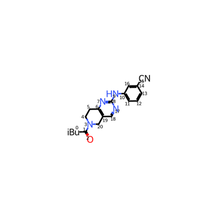 CCC(C)C(=O)N1CCc2nc(Nc3cccc(C#N)c3)ncc2C1